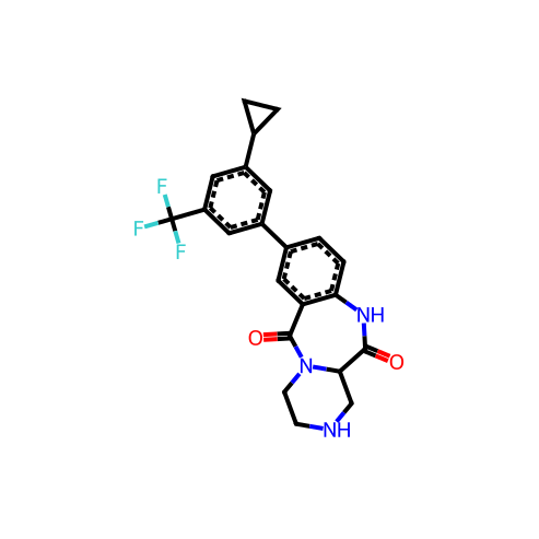 O=C1Nc2ccc(-c3cc(C4CC4)cc(C(F)(F)F)c3)cc2C(=O)N2CCNCC12